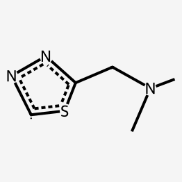 CN(C)Cc1nn[c]s1